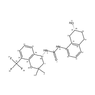 CC1(C)C[C@@H](NC(=O)Nc2cccc3c2C[C@H](O)CC3)c2cccc(C(F)(F)F)c2O1